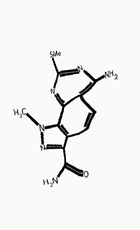 CSc1nc(N)c2ccc3c(C(N)=O)nn(C)c3c2n1